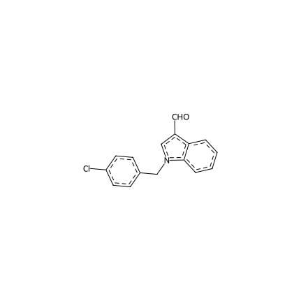 O=Cc1cn(Cc2ccc(Cl)cc2)c2ccccc12